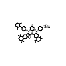 Cc1cc2c3c(c1)N(c1ccc(-c4c(C)cccc4C)cc1)c1c(oc4cc5c(cc14)C(C)(C)CCC5(C)C)B3c1cc3c(cc1N2c1ccc(C(C)(C)C)cc1)C(C)(C)CCC3(C)C